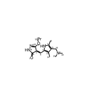 Cc1[nH]c(C=C2C(=O)NN=C2OC(C)C)c(C)c1CN(C)C